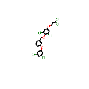 ClC(Cl)=CCOc1cc(Cl)c(OCc2cccc(Oc3cc(Cl)cc(Cl)c3)c2)c(Cl)c1